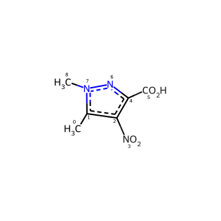 Cc1c([N+](=O)[O-])c(C(=O)O)nn1C